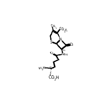 CC1=C(C(=O)O)N2C(=O)[C@@H](NC(=O)CCC[C@@H](N)C(=O)O)C2SC1